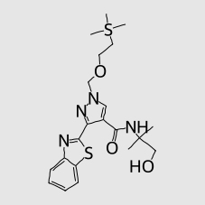 CC(C)(CO)NC(=O)c1cn(COCCS(C)(C)C)nc1-c1nc2ccccc2s1